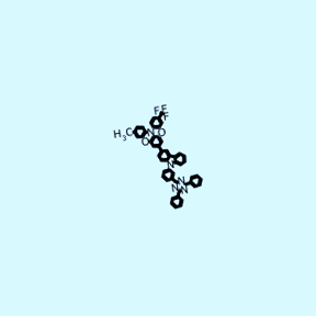 Cc1ccc2c(c1)Oc1cc(-c3ccc4c(c3)c3ccccc3n4-c3cccc(-c4nc(-c5ccccc5)nc(-c5ccccc5)n4)c3)cc3c1N2c1ccc(C(F)(F)F)cc1O3